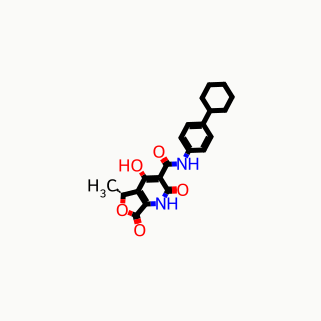 C[C@H]1OC(=O)c2[nH]c(=O)c(C(=O)Nc3ccc(C4CCCCC4)cc3)c(O)c21